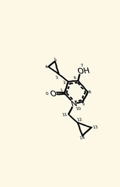 O=c1c(C2CC2)c(O)ccn1CC1CC1